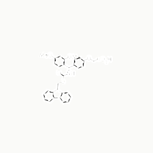 COc1ccc([C@H](NC(=O)OCC2c3ccccc3-c3ccccc32)c2ccc(OCC(=O)O)cc2)c(OC)c1